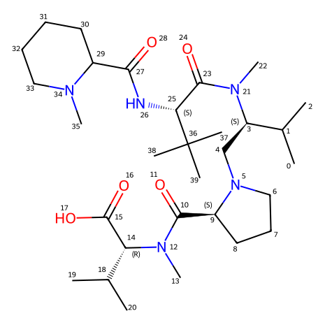 CC(C)[C@@H](CN1CCC[C@H]1C(=O)N(C)[C@@H](C(=O)O)C(C)C)N(C)C(=O)[C@@H](NC(=O)C1CCCCN1C)C(C)(C)C